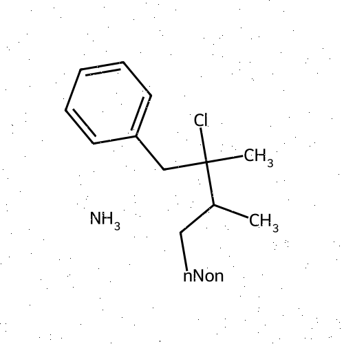 CCCCCCCCCCC(C)C(C)(Cl)Cc1ccccc1.N